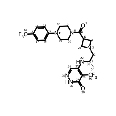 C[C@@H](CN1CC(C(=O)N2CCN(c3ccc(C(F)(F)F)cc3)CC2)C1)Nc1cn[nH]c(=O)c1C(F)(F)F